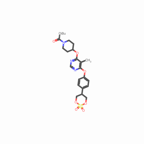 Cc1c(Oc2ccc(C3COS(=O)(=O)OC3)cc2)ncnc1OC1CCN(C(=O)OCC(C)C)CC1